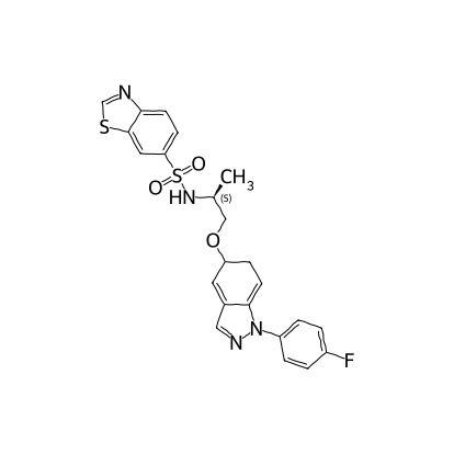 C[C@@H](COC1C=c2cnn(-c3ccc(F)cc3)c2=CC1)NS(=O)(=O)c1ccc2ncsc2c1